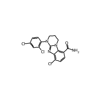 NC(=O)c1ccc(Cl)c2nc3n(c12)CCCN3c1ccc(Cl)cc1Cl